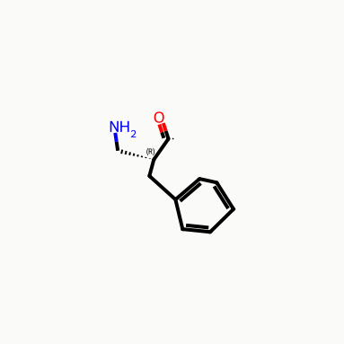 NC[C@H]([C]=O)Cc1ccccc1